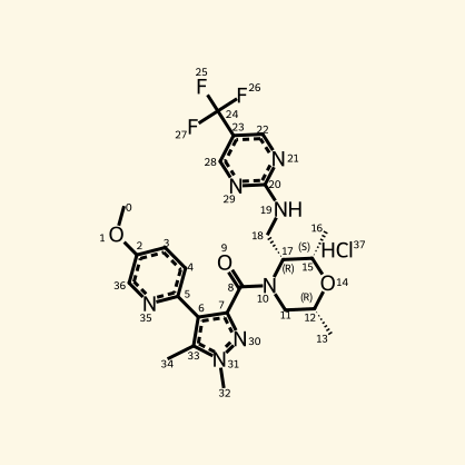 COc1ccc(-c2c(C(=O)N3C[C@@H](C)O[C@@H](C)[C@H]3CNc3ncc(C(F)(F)F)cn3)nn(C)c2C)nc1.Cl